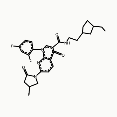 CCC1CCC(CCNC(=O)c2cn(-c3ccc(F)cc3F)c3nc(N4CC(F)CC4=O)ccc3c2=O)C1